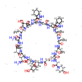 CCCC[C@H]1C(=O)N(C)[C@@H](CCCC)C(=O)N[C@@H](CC(C)C)C(=O)N[C@H](C(=O)NCC(=O)N2CCC(O)CC2)CSCC(=O)N[C@@H](Cc2ccc(O)cc2)C(=O)N(C)[C@@H](C)C(=O)N[C@@H](CC(N)=O)C(=O)N2CCC[C@H]2C(=O)N[C@@H](CN)C(=O)N[C@@H](CC(C)C)C(=O)N2C[C@H](O)C[C@H]2C(=O)N[C@@H](Cc2c[nH]c3ccccc23)C(=O)NCC(=O)NC(Cc2c[nH]c3ccccc23)C(=O)N1C